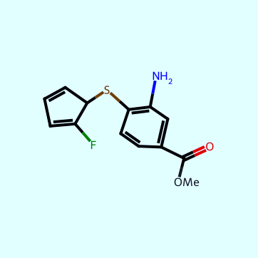 COC(=O)c1ccc(SC2C=CC=C2F)c(N)c1